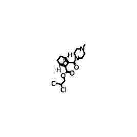 CN1CCN(C(=O)C2C(C(=O)OCC(Cl)Cl)[C@H]3CC[C@@H]2O3)CC1